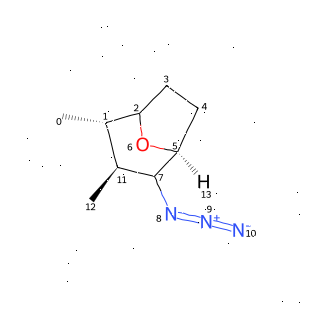 C[C@@H]1C2CC[C@H](O2)C(N=[N+]=[N-])[C@H]1C